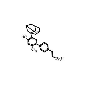 O=C(O)/C=C/c1ccc(-c2cc(C34CC5CC(CC(C5)C3)C4)c(O)cc2C(F)(F)F)cc1